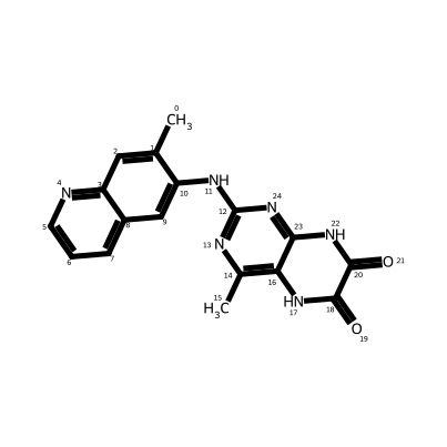 Cc1cc2ncccc2cc1Nc1nc(C)c2[nH]c(=O)c(=O)[nH]c2n1